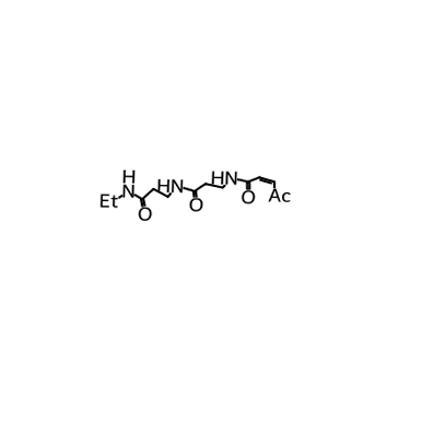 CCNC(=O)CCNC(=O)CCNC(=O)/C=C\C(C)=O